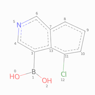 OB(O)c1cncc2cccc(Cl)c12